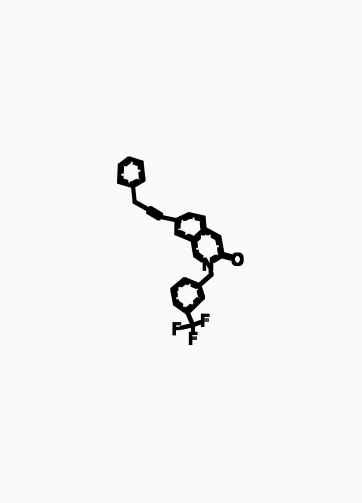 O=c1cc2ccc(C#CCc3ccccc3)cc2cn1Cc1cccc(C(F)(F)F)c1